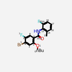 CCCCOc1cc(Br)c(F)cc1C(=O)Nc1c(C)cccc1F